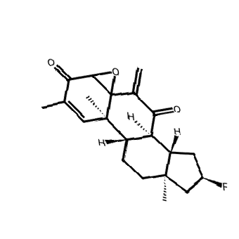 C=C1C(=O)[C@H]2[C@@H]3C[C@@H](F)C[C@@]3(C)CC[C@@H]2[C@@]2(C)C=C(C)C(=O)C3OC132